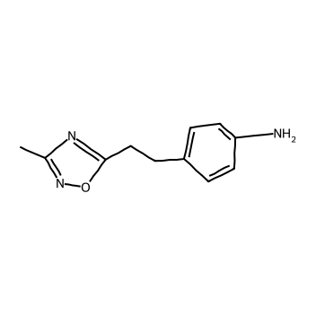 Cc1noc(CCc2ccc(N)cc2)n1